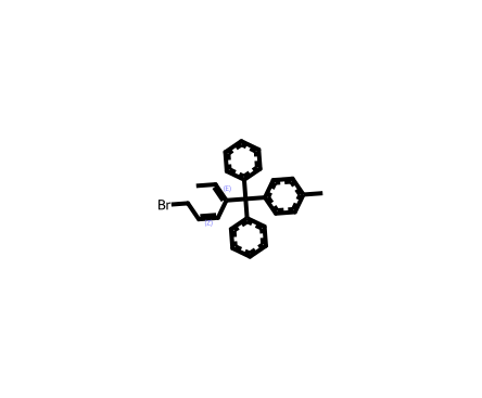 C/C=C(\C=C/CBr)C(c1ccccc1)(c1ccccc1)c1ccc(C)cc1